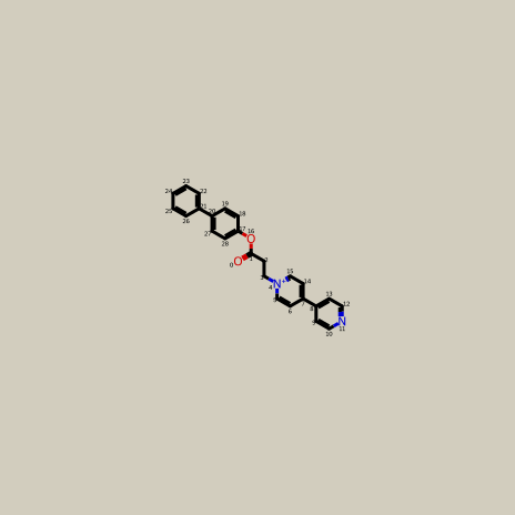 O=C(CC[n+]1ccc(-c2ccncc2)cc1)Oc1ccc(-c2ccccc2)cc1